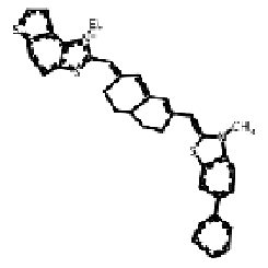 CC[n+]1c(/C=C2/C=C3C=C(/C=C4\Sc5cc(-c6ccccc6)ccc5N4C)CCC3CC2)sc2ccc3sccc3c21